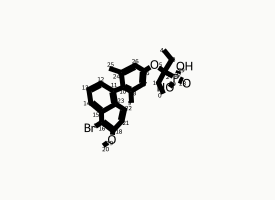 CCC(CC)(Oc1cc(C)c(-c2cccc3c(Br)c(OC)ccc23)c(C)c1)P(=O)(O)O